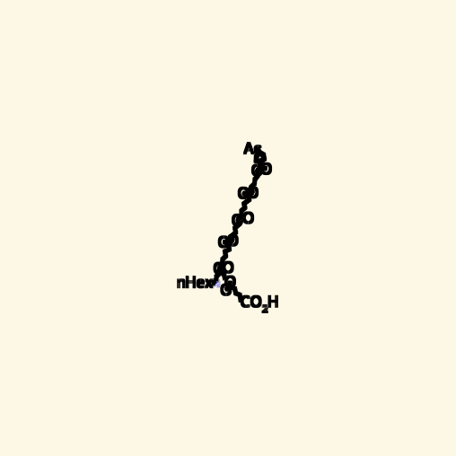 CCCCCC/C=C\CC(CCOC(=O)CCCCC(=O)O)OC(=O)CCCCC(=O)OCCCCOC(=O)CCCCC(=O)OCCCCOC(=O)c1ccc(C(C)=O)cc1